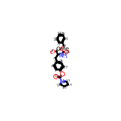 COC(=O)C(Cc1ccc(OC(=O)N2CCCC2)cc1)NC(=O)OCc1ccccc1